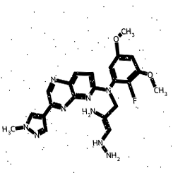 COc1cc(OC)c(F)c(N(C/C(N)=C/NN)c2ccc3ncc(-c4cnn(C)c4)nc3n2)c1